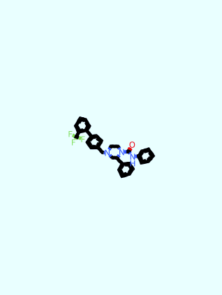 O=C(Nc1ccccc1)N1CCN(Cc2ccc(-c3ccccc3C(F)(F)F)cc2)CC1c1ccccc1